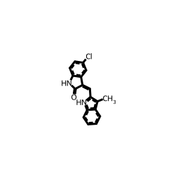 Cc1c(C=C2C(=O)Nc3ccc(Cl)cc32)[nH]c2ccccc12